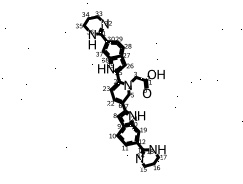 O=C(O)CN1CC(c2cc3ccc(C4=NCCCN4)cc3[nH]2)=CC=C1c1cc2ccc(C3=NCCCN3)cc2[nH]1